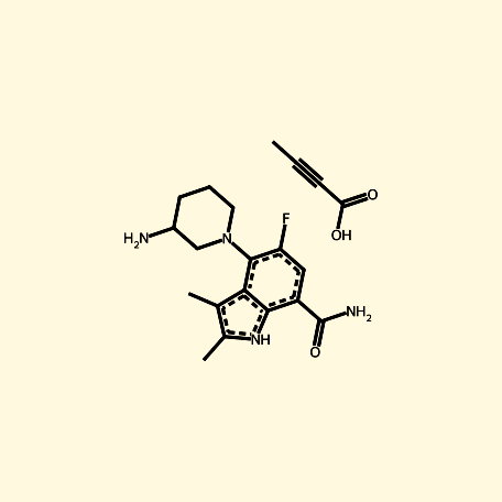 CC#CC(=O)O.Cc1[nH]c2c(C(N)=O)cc(F)c(N3CCCC(N)C3)c2c1C